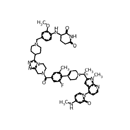 CNc1ccn(-c2ccnc3c2cc([C@H](C)N2CC=C(c4c(C)cc(C(=O)N5CCn6c(nnc6C6CCN(Cc7ccc(NC8CCC(=O)NC8=O)c(OC)c7)CC6)C5)cc4F)CC2)n3C)c(=O)c1